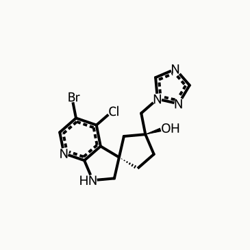 O[C@@]1(Cn2cncn2)CC[C@@]2(CNc3ncc(Br)c(Cl)c32)C1